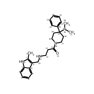 Cc1[nH]c2ccccc2c1CNCCC(=O)N1CCC(c2ccccc2)(N(C)C)CC1